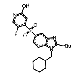 CC(C)(C)c1nc2cc(S(=O)(=O)c3cc(O)ncc3F)ccc2n1CC1CCCCC1